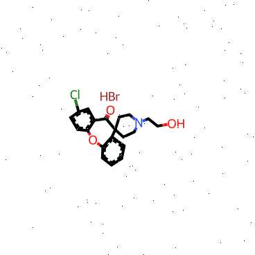 Br.O=C1c2cc(Cl)ccc2Oc2ccccc2C12CCN(CCO)CC2